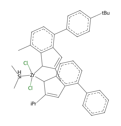 CC1=Cc2c(-c3ccc(C(C)(C)C)cc3)ccc(C)c2[CH]1[Zr]([Cl])([Cl])([CH]1C(C(C)C)=Cc2c(-c3ccccc3)cccc21)[SiH](C)C